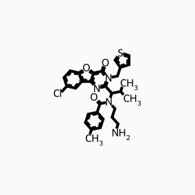 Cc1ccc(C(=O)N(CCCN)C(c2nc3c(oc4ccc(Cl)cc43)c(=O)n2Cc2ccsc2)C(C)C)cc1